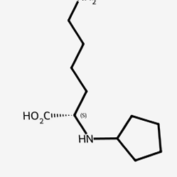 NCCCC[C@H](NC1CCCC1)C(=O)O